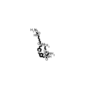 CCCCOc1nc(N)c2[nH]c(=O)n(Cc3ccc(CN4CCC(CCNC(=O)CCCCCNC(=O)CON)CC4)cc3)c2n1